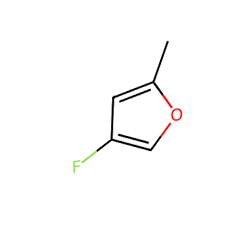 Cc1cc(F)co1